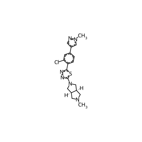 CN1C[C@@H]2CN(c3nnc(-c4ccc(-c5cnn(C)c5)cc4Cl)s3)C[C@@H]2C1